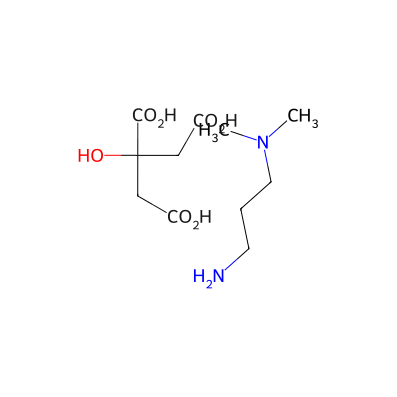 CN(C)CCCN.O=C(O)CC(O)(CC(=O)O)C(=O)O